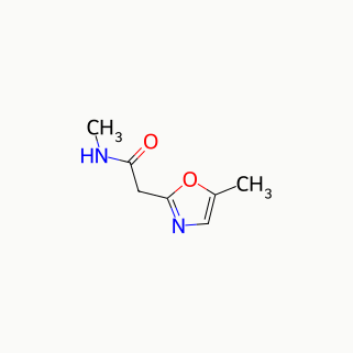 CNC(=O)Cc1ncc(C)o1